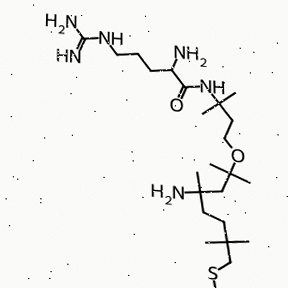 CSCC(C)(C)CCC(C)(N)CC(C)(C)OCCC(C)(C)NC(=O)C(N)CCCNC(=N)N